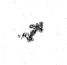 CN(C)CCCN1CCCC1C(=O)N1CCC(N2CCN(C3CCN(C(=O)c4cc(C(F)(F)F)cc(C(F)(F)F)c4)C(Cc4ccccc4)C3)CC2)C1